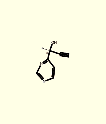 C#C[C@](C)(O)c1ccncn1